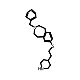 c1ccc(CN2CCc3ccc(SCCC4CCNCC4)cc3CC2)cc1